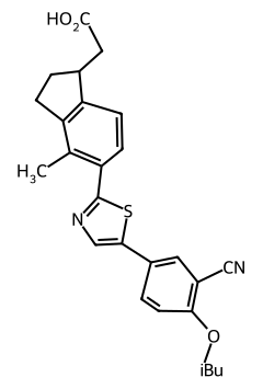 CCC(C)Oc1ccc(-c2cnc(-c3ccc4c(c3C)CCC4CC(=O)O)s2)cc1C#N